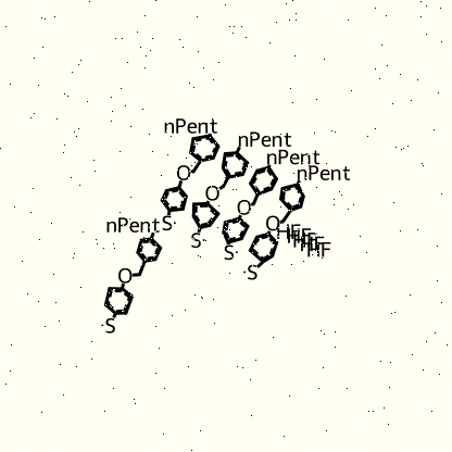 CCCCCc1ccc(COc2ccc([S])cc2)cc1.CCCCCc1ccc(COc2ccc([S])cc2)cc1.CCCCCc1ccc(COc2ccc([S])cc2)cc1.CCCCCc1ccc(COc2ccc([S])cc2)cc1.CCCCCc1ccc(COc2ccc([S])cc2)cc1.F.F.F.F.F